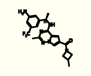 Cc1nc(N[C@H](C)c2cc(N)cc(C(F)(F)F)c2)c2cc(C(=O)N3CC(C)C3)cn2n1